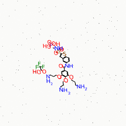 NCCCOc1cc(C(=O)Nc2ccc3sc(S(=O)(=O)NCP(=O)(O)O)cc3c2)cc(OCCCN)c1OCCCN.O=C(O)C(F)(F)F